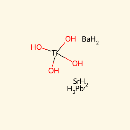 [BaH2].[OH][Ti]([OH])([OH])[OH].[PbH2].[SrH2]